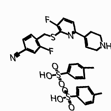 Cc1ccc(S(=O)(=O)O)cc1.Cc1ccc(S(=O)(=O)O)cc1.N#Cc1ccc(CSc2nc(C3=CCNCC3)ccc2F)c(F)c1